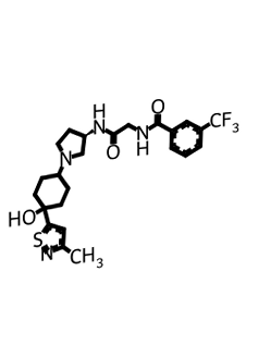 Cc1cc(C2(O)CCC(N3CC[C@@H](NC(=O)CNC(=O)c4cccc(C(F)(F)F)c4)C3)CC2)sn1